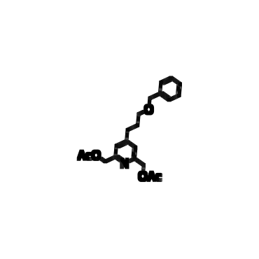 CC(=O)OCc1cc(CCCOCc2ccccc2)cc(COC(C)=O)n1